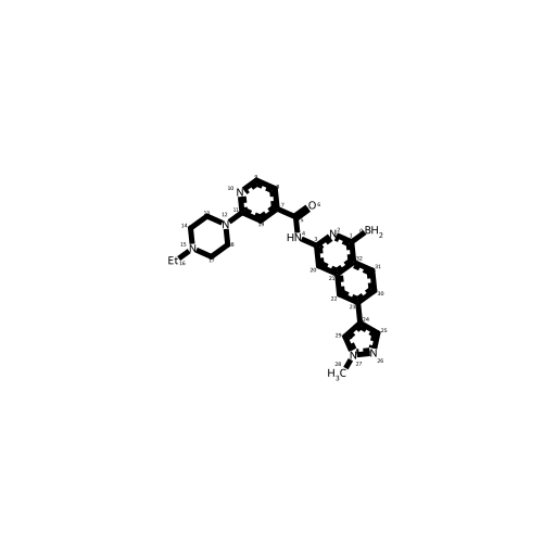 Bc1nc(NC(=O)c2ccnc(N3CCN(CC)CC3)c2)cc2cc(-c3cnn(C)c3)ccc12